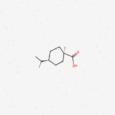 CC(C)[C@H]1CC[C@@](C)(C(=O)O)CC1